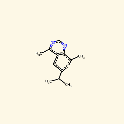 Cc1ncnc2c(C)cc(C(C)C)cc12